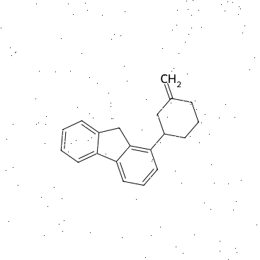 C=C1CCCC(c2cccc3c2Cc2ccccc2-3)C1